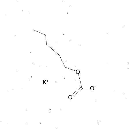 CCCCCOC(=O)[O-].[K+]